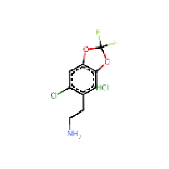 Cl.NCCc1cc2c(cc1Cl)OC(F)(F)O2